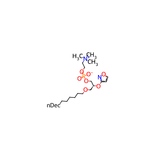 CCCCCCCCCCCCCCCCOC[C@@H](COP(=O)([O-])OCC[N+](C)(C)C)Oc1ccon1